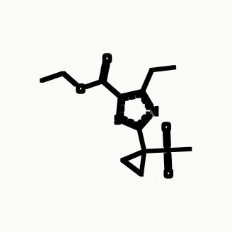 CCOC(=O)c1sc(C2(S(C)(=O)=O)CC2)nc1CC